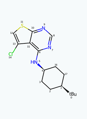 CC(C)(C)[C@H]1CC[C@@H](Nc2ncnc3scc(Cl)c23)CC1